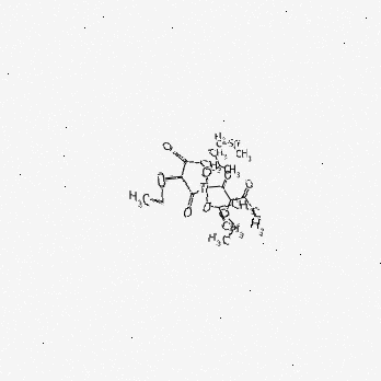 CCOC(C(C)=O)[C](=O)[Ti]([O]C(C)C)([O]C(C)C)[C](=O)C(OCC)C(C)=O.[CH3][Sn][CH3]